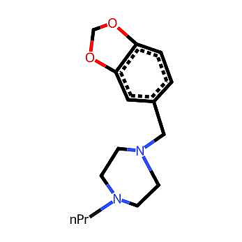 CCCN1CCN(Cc2ccc3c(c2)OCO3)CC1